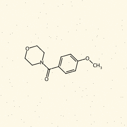 COc1ccc(C(=O)N2CCOCC2)cc1